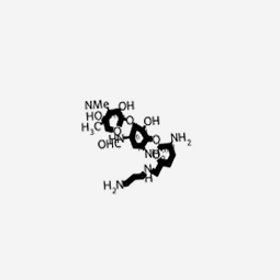 CN[C@@H]1[C@@H](O)[C@@H](O[C@H]2[C@H](NC=O)C[C@H](N)C(O[C@H]3OC(CNCCCN)=CC[C@H]3N)[C@@H]2O)OC[C@]1(C)O